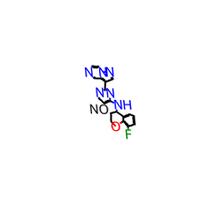 O=Nc1cnc(-c2cnn3ccncc23)nc1N[C@@H]1CCOc2c(F)cccc21